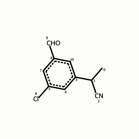 CC(C#N)c1cc(Cl)cc(C=O)c1